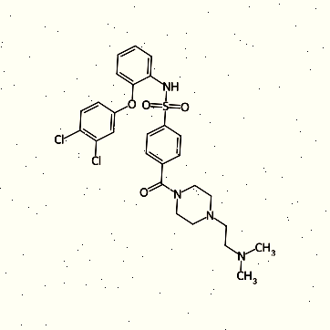 CN(C)CCN1CCN(C(=O)c2ccc(S(=O)(=O)Nc3ccccc3Oc3ccc(Cl)c(Cl)c3)cc2)CC1